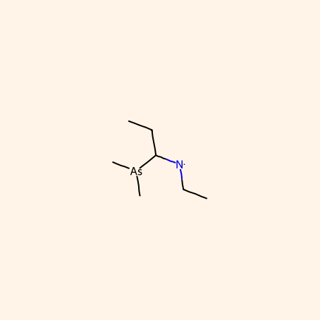 CC[N]C(CC)[As](C)C